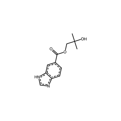 CC(C)(O)COC(=O)c1ccc2nc[nH]c2c1